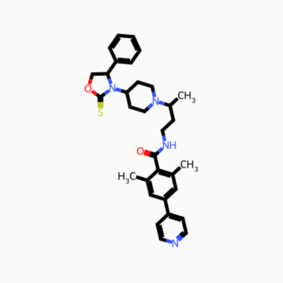 Cc1cc(-c2ccncc2)cc(C)c1C(=O)NCCC(C)N1CCC(N2C(=S)OCC2c2ccccc2)CC1